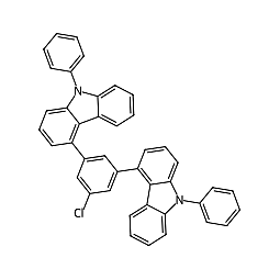 Clc1cc(-c2cccc3c2c2ccccc2n3-c2ccccc2)cc(-c2cccc3c2c2ccccc2n3-c2ccccc2)c1